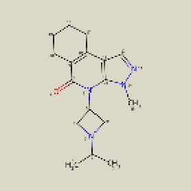 CC(C)N1CC(n2c(=O)c3c(c4cnn(C)c42)CCCC3)C1